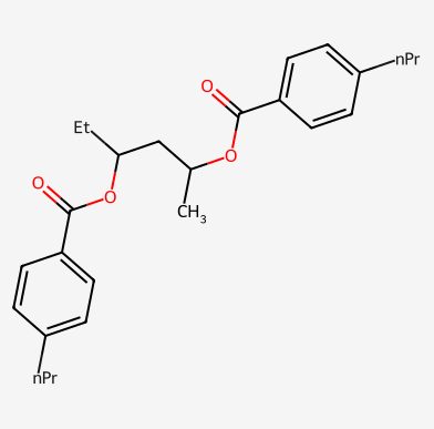 CCCc1ccc(C(=O)OC(C)CC(CC)OC(=O)c2ccc(CCC)cc2)cc1